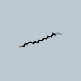 O=C/C=C/CCCCCCCCCCCCCBr